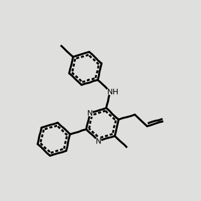 C=CCc1c(C)nc(-c2ccccc2)nc1Nc1ccc(C)cc1